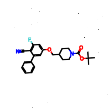 CC(C)(C)OC(=O)N1CCC(COc2cc(F)c(C#N)c(-c3ccccc3)c2)CC1